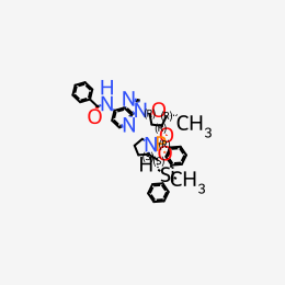 CC[C@H]1O[C@@H](n2cnc3c(NC(=O)c4ccccc4)ccnc32)C[C@H]1O[P@@]1O[C@H](C[Si](C)(c2ccccc2)c2ccccc2)[C@@H]2CCCN21